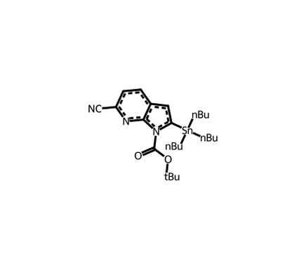 CCC[CH2][Sn]([CH2]CCC)([CH2]CCC)[c]1cc2ccc(C#N)nc2n1C(=O)OC(C)(C)C